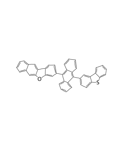 c1ccc2cc3c(cc2c1)oc1cc(-c2c4ccccc4c(-c4ccc5sc6ccccc6c5c4)c4ccccc24)ccc13